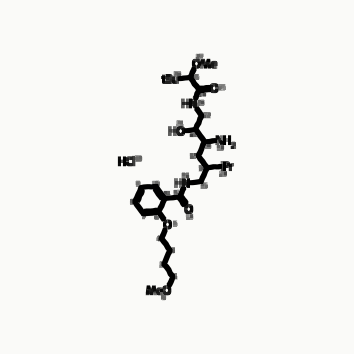 COCCCCOc1ccccc1C(=O)NCC(CC(N)C(O)CNC(=O)C(OC)C(C)(C)C)C(C)C.Cl